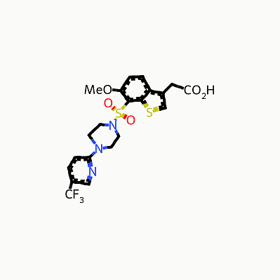 COc1ccc2c(CC(=O)O)csc2c1S(=O)(=O)N1CCN(c2ccc(C(F)(F)F)cn2)CC1